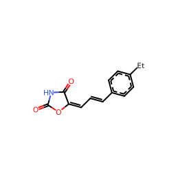 CCc1ccc(C=CC=C2OC(=O)NC2=O)cc1